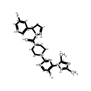 Cc1nc(C)n(-c2nc(N3CCN(C(=O)N4N=CCC4c4cncc(F)c4)CC3)ncc2F)n1